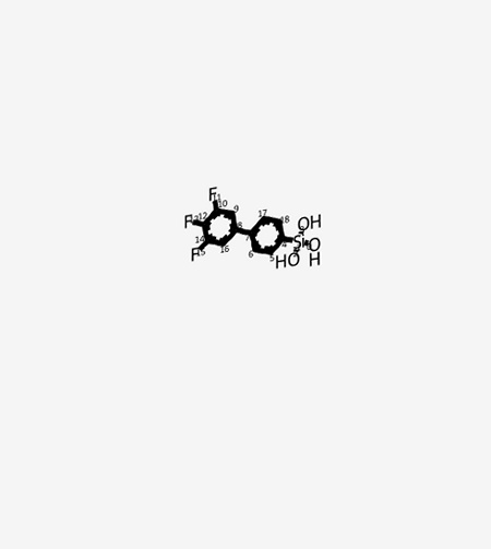 O[Si](O)(O)c1ccc(-c2cc(F)c(F)c(F)c2)cc1